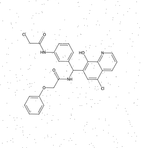 O=C(CCl)Nc1cccc(C(NC(=O)COc2ccccc2)c2cc(Cl)c3cccnc3c2O)c1